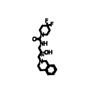 O=C(NC[C@H](O)CN1CCc2ccccc2C1)N1CCC(F)(F)CC1